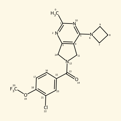 Cc1nc2c(c(N3CCC3)n1)CN(C(=O)c1ccc(OC(F)(F)F)c(Cl)c1)C2